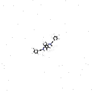 C=CC1=C(/C=C(/C#C[C@H]2O[C@H](CO)[C@@H](O)[C@H](O)[C@@H]2O)C=C)C2(CCN(C)CC2)C(/C=C(/C#C[C@H]2O[C@H](CO)[C@@H](O)C[C@@H]2O)C=C)=C1C=C